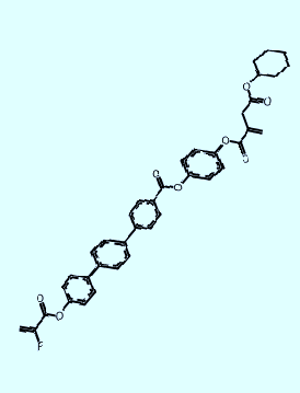 C=C(F)C(=O)Oc1ccc(-c2ccc(-c3ccc(C(=O)Oc4ccc(OC(=O)C(=C)CC(=O)OC5CCCCC5)cc4)cc3)cc2)cc1